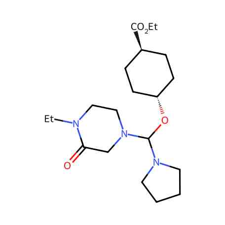 CCOC(=O)[C@H]1CC[C@H](OC(N2CCCC2)N2CCN(CC)C(=O)C2)CC1